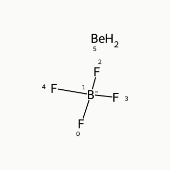 F[B-](F)(F)F.[BeH2]